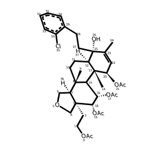 CC(=O)OCC[C@]12COC[C@H]1[C@]1(C)CC[C@@H]3[C@@](C)(C1[C@H](OC(C)=O)[C@@H]2OC(C)=O)[C@H](OC(C)=O)C=C(C)[C@]3(O)CCc1ccccc1Cl